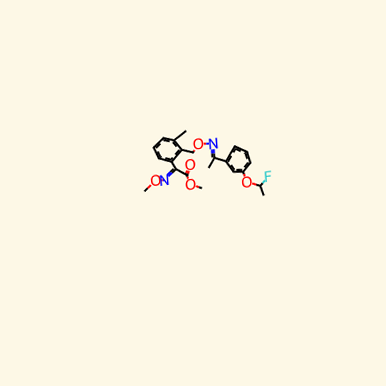 CO/N=C(/C(=O)OC)c1cccc(C)c1CO/N=C(\C)c1cccc(OC(C)F)c1